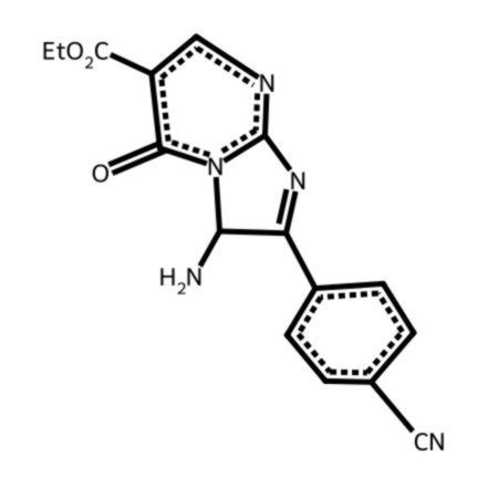 CCOC(=O)c1cnc2n(c1=O)C(N)C(c1ccc(C#N)cc1)=N2